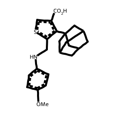 COc1ccc(NCc2scc(C(=O)O)c2C23CC4CC(CC(C4)C2)C3)cc1